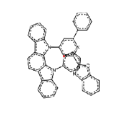 c1ccc(-c2cc(-n3c4ccccc4c4ccc5c6ccccc6n(-c6ccccc6)c5c43)cc(-c3nc4ccccc4o3)n2)cc1